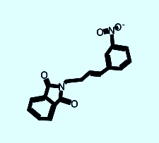 O=C1c2ccccc2C(=O)N1CCC=Cc1cccc([N+](=O)[O-])c1